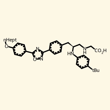 CCCCCCCOc1ccc(-c2nc(-c3ccc(C[C@@H](CNCC(=O)O)Nc4ccc(C(C)(C)C)cc4)cc3)no2)cc1